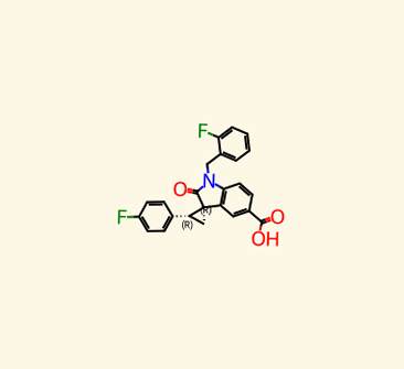 O=C(O)c1ccc2c(c1)[C@]1(C[C@@H]1c1ccc(F)cc1)C(=O)N2Cc1ccccc1F